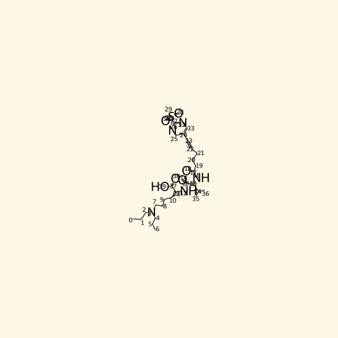 CCCN(CCC)CCCC[C@H](NC(=O)[C@@H](NC(=O)CCCC#Cc1cnc(S(C)(=O)=O)nc1)C(C)C)C(=O)O